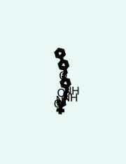 CC(C)(C)c1cc(NC(=O)Nc2ccc(OCc3ccc(-c4ccccc4)cc3)cc2)no1